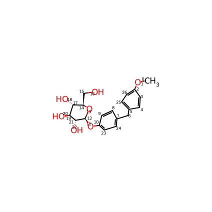 COc1ccc(Cc2ccc(O[C@@H]3O[C@H](CO)[C@@H](O)[C@H](O)[C@H]3O)cc2)cc1